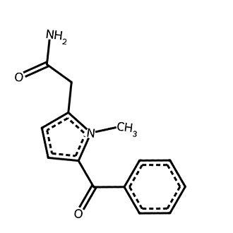 Cn1c(CC(N)=O)ccc1C(=O)c1ccccc1